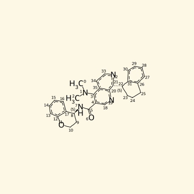 CN(C)c1c(C(=O)N[C@H]2CCOc3ccccc32)cnc2c([C@H]3CCCc4ccccc43)nccc12